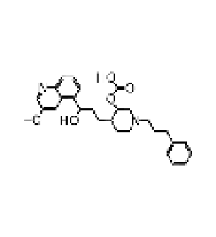 COc1cnc2cccc(C(O)CC[C@@H]3CCN(CCCc4ccccc4)C[C@@H]3OC(=O)O)c2c1